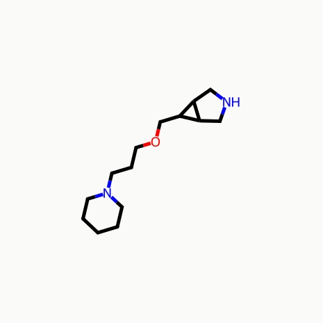 C1CCN(CCCOCC2C3CNCC32)CC1